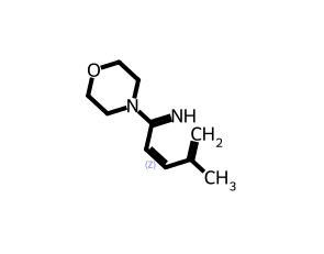 C=C(C)/C=C\C(=N)N1CCOCC1